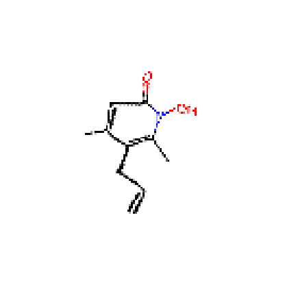 C=CCc1c(C)cc(=O)n(O)c1C